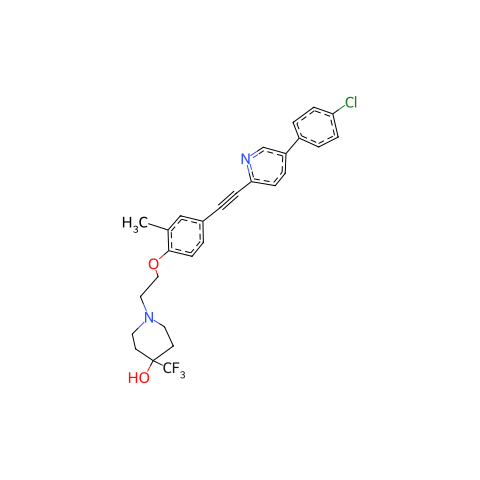 Cc1cc(C#Cc2ccc(-c3ccc(Cl)cc3)cn2)ccc1OCCN1CCC(O)(C(F)(F)F)CC1